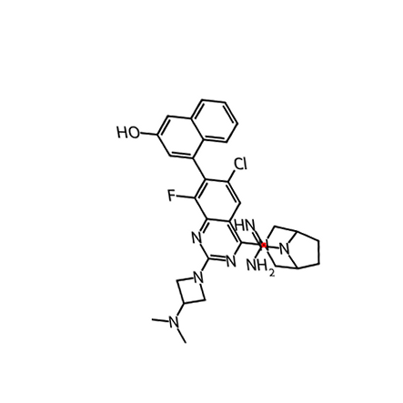 CN(C)C1CN(c2nc(N3CC4CCC(C3)N4C(=N)N)c3cc(Cl)c(-c4cc(O)cc5ccccc45)c(F)c3n2)C1